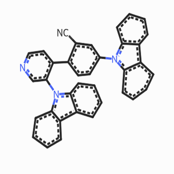 N#Cc1cc(-n2c3ccccc3c3ccccc32)ccc1-c1ccncc1-n1c2ccccc2c2ccccc21